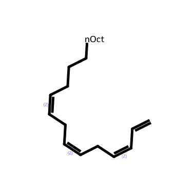 C=C/C=C\C/C=C\C/C=C\CCCCCCCCCCC